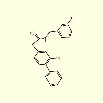 C=C(Cc1ccc(-c2ccccc2)c(C)c1)NCc1cccc(F)c1